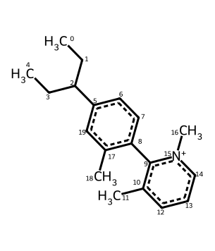 CCC(CC)c1ccc(-c2c(C)ccc[n+]2C)c(C)c1